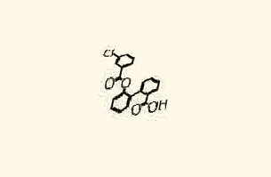 O=C(Oc1ccccc1-c1ccccc1C(=O)O)c1cccc(Cl)c1